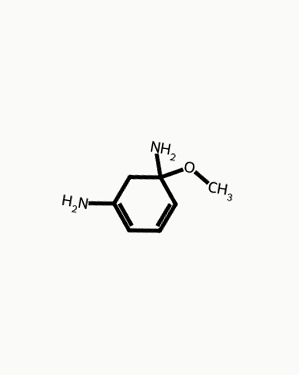 COC1(N)C=CC=C(N)C1